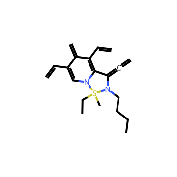 C=C=C1C2=C(C=C)C(=C)C(C=C)=CN2S(C)(CC)N1CCCC